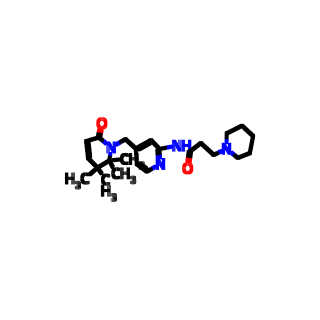 CC1(C)C=CC(=O)N(Cc2ccnc(NC(=O)CCN3CCCCC3)c2)C1(C)C